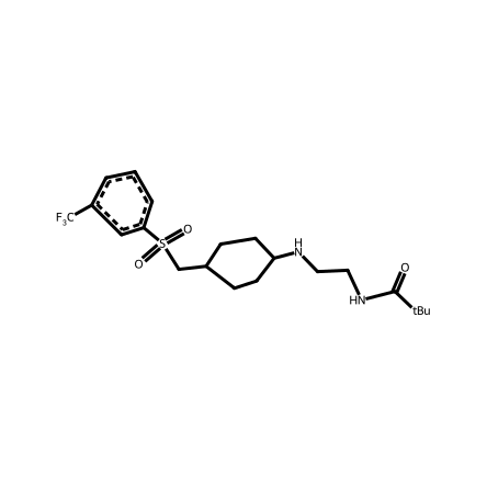 CC(C)(C)C(=O)NCCNC1CCC(CS(=O)(=O)c2cccc(C(F)(F)F)c2)CC1